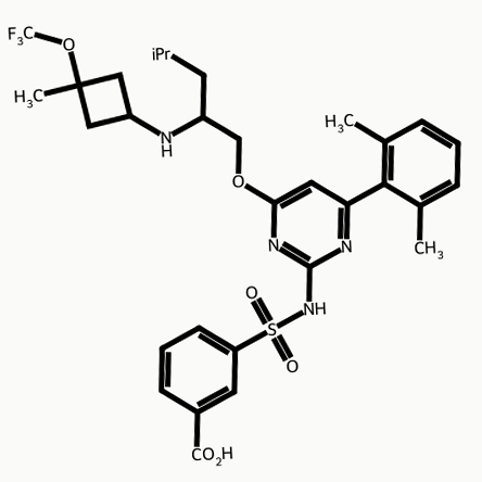 Cc1cccc(C)c1-c1cc(OCC(CC(C)C)NC2CC(C)(OC(F)(F)F)C2)nc(NS(=O)(=O)c2cccc(C(=O)O)c2)n1